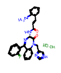 Cl.Cl.Nc1ccccc1/C=C/C(=O)N[C@H]1N=C(c2ccccc2F)c2ccccc2N(Cc2c[nH]cn2)C1=O